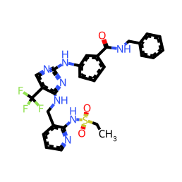 CCS(=O)(=O)Nc1ncccc1CNc1nc(Nc2cccc(C(=O)NCc3ccccc3)c2)ncc1C(F)(F)F